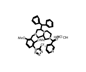 COc1ccc(-n2nnnc2C(F)(F)F)c(OC)c1CN1CC2CN(C(=O)c3cccnc3)CCN2C(C(c2ccccc2)c2ccccc2)C1.Cl.Cl.Cl